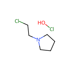 ClCCN1CCCC1.OCl